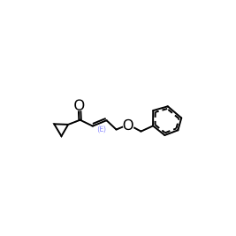 O=C(/C=C/COCc1ccccc1)C1CC1